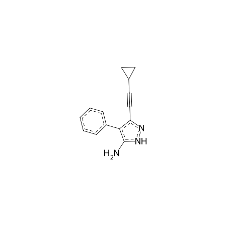 Nc1[nH]nc(C#CC2CC2)c1-c1ccccc1